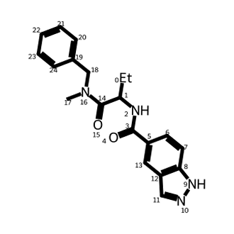 CCC(NC(=O)c1ccc2[nH]ncc2c1)C(=O)N(C)Cc1ccccc1